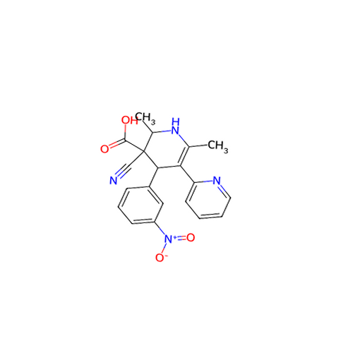 CC1=C(c2ccccn2)C(c2cccc([N+](=O)[O-])c2)C(C#N)(C(=O)O)C(C)N1